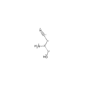 N#CCC(N)CO